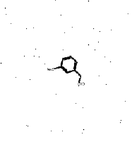 CSc1cccc(CC=O)c1